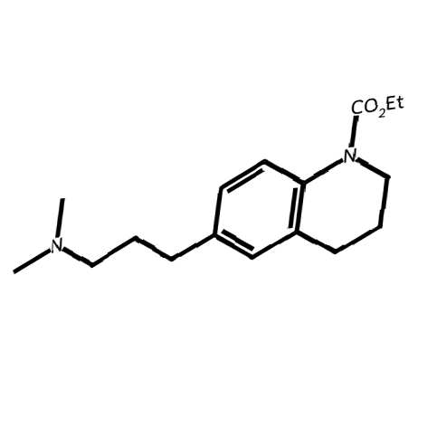 CCOC(=O)N1CCCc2cc(CCCN(C)C)ccc21